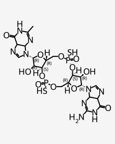 CC1=NC2C(N=CN2[C@@H]2O[C@@H]3COP(=O)(S)O[C@H]4[C@@H](O)[C@H](N5C=NC6C(=O)NC(N)=NC65)O[C@@H]4COP(=O)(S)O[C@H]3[C@H]2O)C(=O)N1